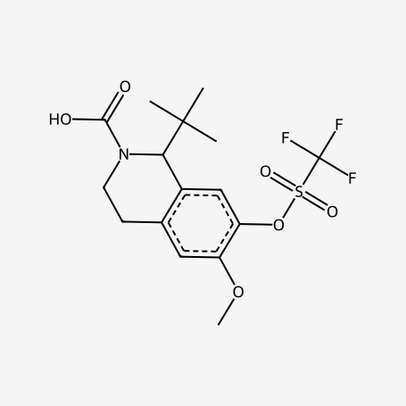 COc1cc2c(cc1OS(=O)(=O)C(F)(F)F)C(C(C)(C)C)N(C(=O)O)CC2